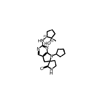 C[C@]1(O)CCC[C@@H]1Nc1ncc2c(n1)N(C1CCCC1)C1(CCNC1=O)C2